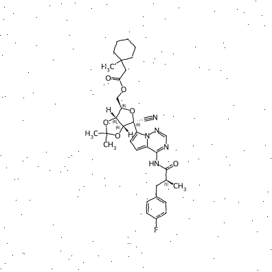 C[C@@H](Cc1ccc(F)cc1)C(=O)Nc1ncnn2c([C@]3(C#N)O[C@H](COC(=O)CC4(C)CCCCC4)[C@H]4OC(C)(C)O[C@H]43)ccc12